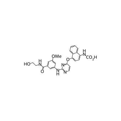 COc1cc(Nc2nccc(Oc3ccc(NC(=O)O)c4ccccc34)n2)cc(C(=O)NCCO)c1